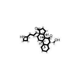 C[C@]12CCCCC1[C@@H](CO)C(=O)[C@H]1[C@@H]3CCC(=O)[C@@]3(CCCC3CCN3)CC[C@@H]12